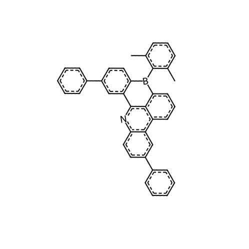 Cc1cccc(C)c1B1c2ccc(-c3ccccc3)cc2-c2nc3ccc(-c4ccccc4)cc3c3cccc1c23